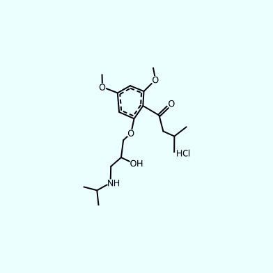 COc1cc(OC)c(C(=O)CC(C)C)c(OCC(O)CNC(C)C)c1.Cl